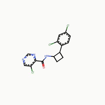 O=C(NC1CCC1c1ccc(Cl)cc1Cl)c1ncncc1Cl